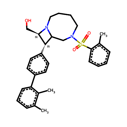 Cc1ccccc1S(=O)(=O)N1CCCCN2C(C1)[C@H](c1ccc(-c3cccc(C)c3C)cc1)[C@H]2CO